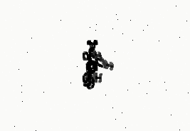 CCN(CC)CCNC(=O)c1ccc(NS(C)(=O)=O)cc1.Cl